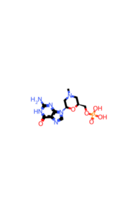 CN1C[C@@H](COP(=O)(O)O)O[C@@H](n2cnc3c(=O)[nH]c(N)nc32)C1